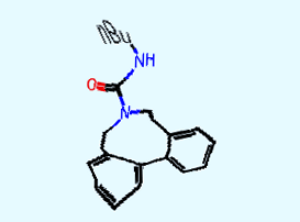 CCCCNC(=O)N1Cc2ccccc2-c2ccccc2C1